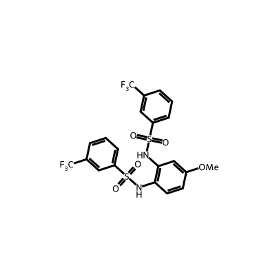 COc1ccc(NS(=O)(=O)c2cccc(C(F)(F)F)c2)c(NS(=O)(=O)c2cccc(C(F)(F)F)c2)c1